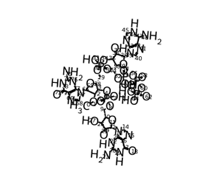 COC1C(OP(=O)(O)OC[C@H]2O[C@@H](n3cnc4c(=O)[nH]c(N)nc43)[C@@H](O)C2O)[C@@H](COP(=O)(O)OC2C(O)[C@H](n3cnc4c3N=CNC4N)O[C@@H]2COP(=O)(O)OP(=O)(O)OP(=O)(O)O)O[C@H]1n1cnc2c(=O)[nH]c(N)nc21